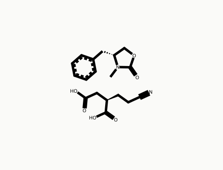 CN1C(=O)OC[C@H]1Cc1ccccc1.N#CCC[C@H](CC(=O)O)C(=O)O